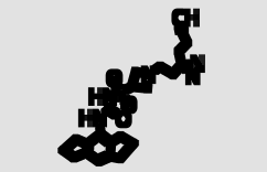 C#CCCC1(CCN2CC(S(=O)(=O)NC(=O)Nc3c4c(cc5c3CCC5)CCC4)C2)N=N1